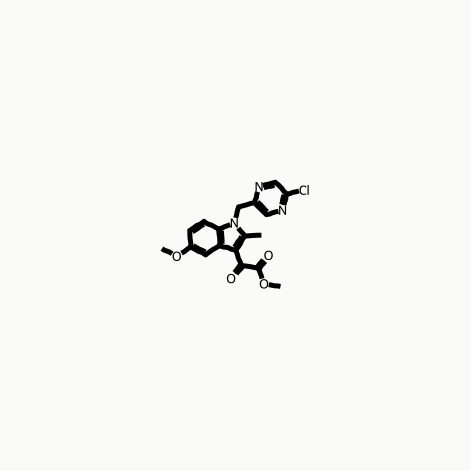 COC(=O)C(=O)c1c(C)n(Cc2cnc(Cl)cn2)c2ccc(OC)cc12